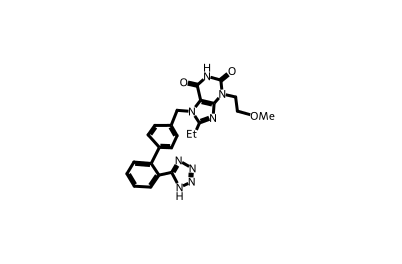 CCc1nc2c(c(=O)[nH]c(=O)n2CCOC)n1Cc1ccc(-c2ccccc2-c2nnn[nH]2)cc1